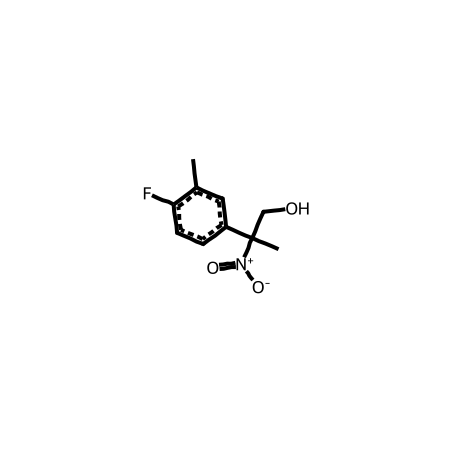 Cc1cc(C(C)(CO)[N+](=O)[O-])ccc1F